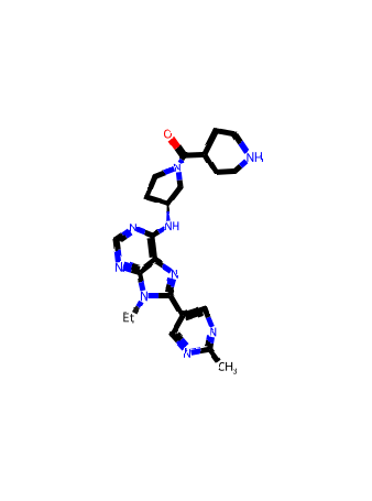 CCn1c(-c2cnc(C)nc2)nc2c(N[C@H]3CCN(C(=O)C4CCNCC4)C3)ncnc21